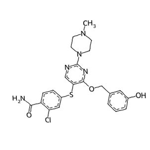 CN1CCN(c2ncc(Sc3ccc(C(N)=O)c(Cl)c3)c(OCc3cccc(O)c3)n2)CC1